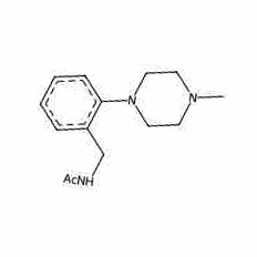 CC(=O)NCc1ccccc1N1CCN(C)CC1